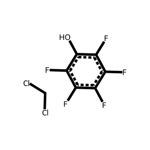 ClCCl.Oc1c(F)c(F)c(F)c(F)c1F